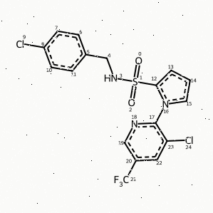 O=S(=O)(NCc1ccc(Cl)cc1)c1cccn1-c1ncc(C(F)(F)F)cc1Cl